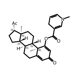 CC(=O)[C@H]1CC[C@H]2[C@@H]3CCC4=CC(=O)C=C(OC(=O)C5=CN(C)C=CC5)[C@]4(C)[C@H]3CC[C@]12C